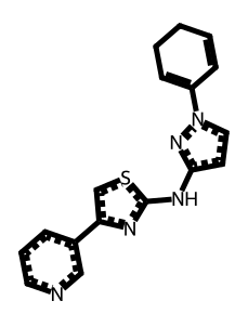 C1=CC(n2ccc(Nc3nc(-c4cccnc4)cs3)n2)=CCC1